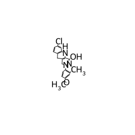 COc1ccc(N2CC3=C(Nc4cc(Cl)ccc4C3)C(O)=N2)c(C)c1